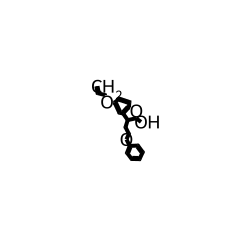 C=CCOc1ccc2c(c1)C(CCOc1ccccc1)C(O)O2